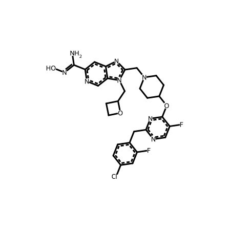 NC(=NO)c1cc2nc(CN3CCC(Oc4nc(Cc5ccc(Cl)cc5F)ncc4F)CC3)n(CC3CCO3)c2cn1